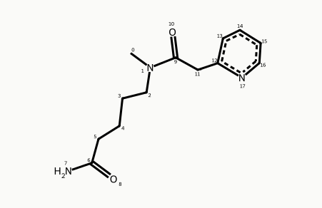 CN(CCCCC(N)=O)C(=O)[CH]c1ccccn1